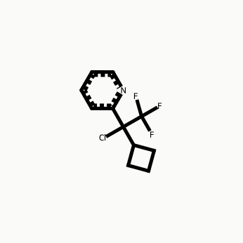 FC(F)(F)C(Cl)(c1ccccn1)C1CCC1